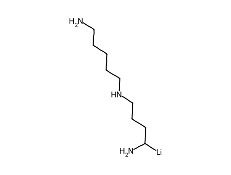 [Li][CH](N)CCCNCCCCCN